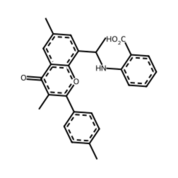 Cc1ccc(-c2oc3c(C(C)Nc4ccccc4C(=O)O)cc(C)cc3c(=O)c2C)cc1